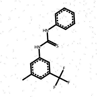 Cc1cc(NC(=S)Nc2ccccc2)cc(C(F)(F)F)c1